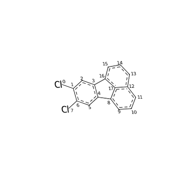 Clc1cc2c(cc1Cl)-c1cccc3cccc-2c13